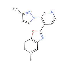 Cc1ccc2oc(-c3ccncc3-n3ccc(C(F)(F)F)n3)nc2c1